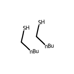 CCCCCS.CCCCCS